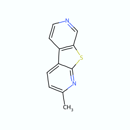 Cc1ccc2c(n1)sc1cnccc12